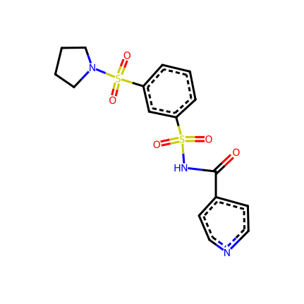 O=C(NS(=O)(=O)c1cccc(S(=O)(=O)N2CCCC2)c1)c1ccncc1